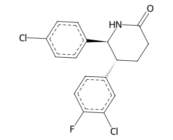 O=C1CC[C@H](c2ccc(F)c(Cl)c2)[C@@H](c2ccc(Cl)cc2)N1